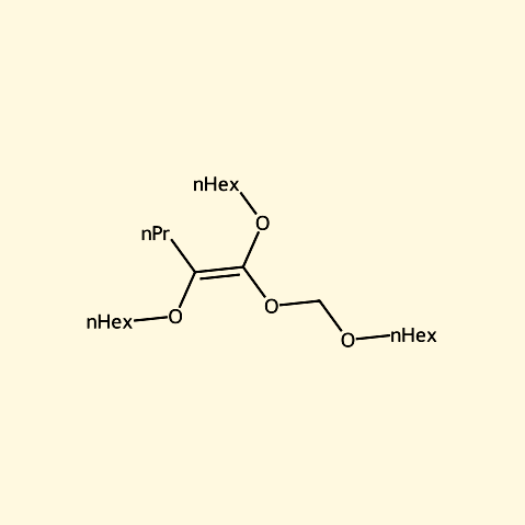 CCCCCCOCOC(OCCCCCC)=C(CCC)OCCCCCC